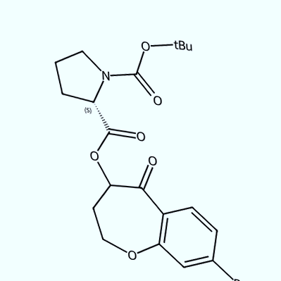 CC(C)(C)OC(=O)N1CCC[C@H]1C(=O)OC1CCOc2cc(Br)ccc2C1=O